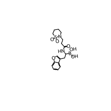 O=C(CCN1CCCCS1(=O)=O)NC(Cc1coc2ccccc12)B(O)O